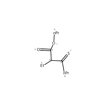 CCCOC(=O)C(CC)C(=S)CCC